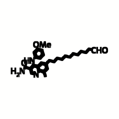 COc1cccc(Nc2c(C(N)=O)cnc3c(C)cc(CCCCCCCCCCCC=O)cc23)c1